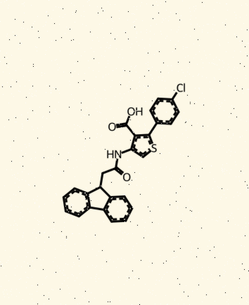 O=C(CC1c2ccccc2-c2ccccc21)Nc1csc(-c2ccc(Cl)cc2)c1C(=O)O